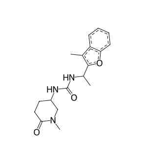 Cc1c(C(C)NC(=O)NC2CCC(=O)N(C)C2)oc2ccccc12